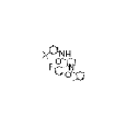 Cc1ccccc1C(=O)N1CCC[C@H](C(=O)Nc2cccc(C(C)(C)C)c2)C1[C@@H]1C=CC=C(F)C1